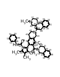 Cc1c(C)c(-c2cc3c(cc2C(=O)N2Cc4ccccc4C[C@H]2C)CN(C(=O)Cc2ccccc2N2CCN(C)CC2)CC3)n(C(=O)Nc2ccccc2)c1C